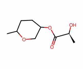 CC1CCC(OC(=O)[C@H](C)O)CO1